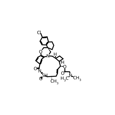 C[C@H]1C/C=C/[C@H](OC(=O)CN(C)C)[C@@H]2CC[C@H]2CN2C[C@@]3(CCCc4cc(Cl)ccc43)COc3ccc(cc32)C(=O)/N=[SH](=O)\C1